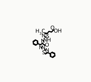 Cc1nc(N/N=C2\C(=O)N(c3nc(-c4ccccc4)cs3)N=C2c2ccccc2)sc1CCC(=O)O